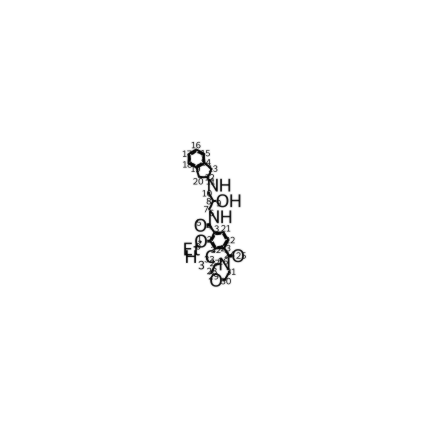 CCOc1c(C(=O)NCC(O)CNC2Cc3ccccc3C2)ccc(C(=O)N2CCOCC2)c1C